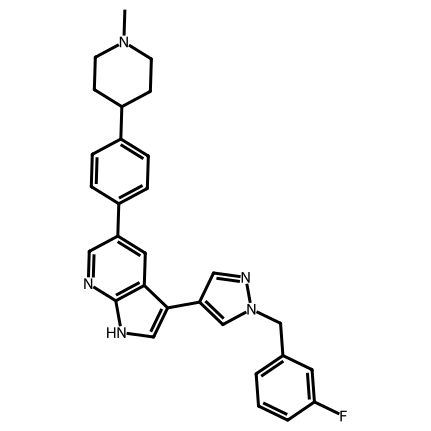 CN1CCC(c2ccc(-c3cnc4[nH]cc(-c5cnn(Cc6cccc(F)c6)c5)c4c3)cc2)CC1